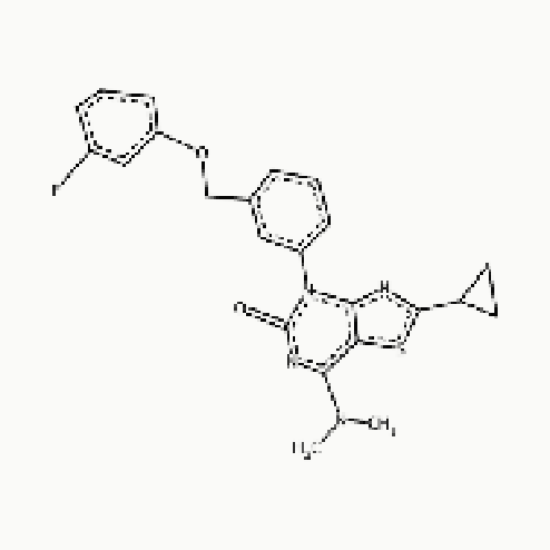 CN(C)c1nc(=O)n(-c2cccc(COc3cccc(F)c3)c2)c2nc(C3CC3)sc12